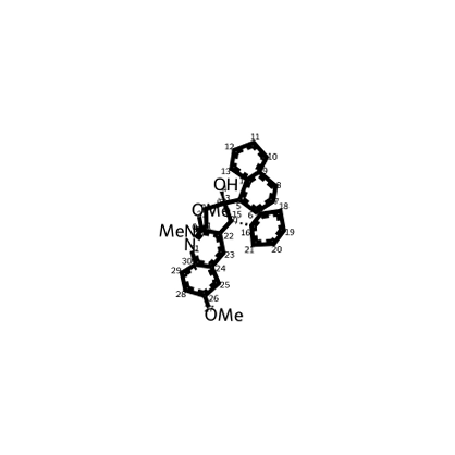 CNCC[C@](O)(c1cccc2ccccc12)[C@H](c1ccccc1)c1cc2cc(OC)ccc2nc1OC